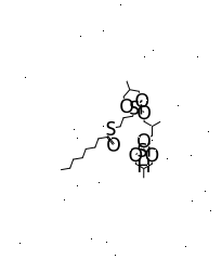 CCCCCCCC(=O)SCCC[Si]1(OCC(C)CO[SiH]2OCC(C)CO2)OCC(C)CO1